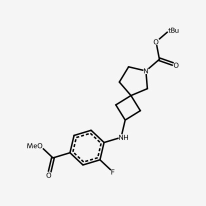 COC(=O)c1ccc(NC2CC3(CCN(C(=O)OC(C)(C)C)C3)C2)c(F)c1